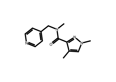 Cc1cn(C)nc1C(=O)N(C)Cc1ccncc1